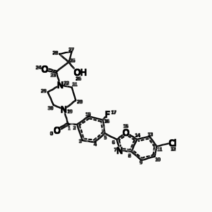 O=C(c1ccc(-c2nc3ccc(Cl)cc3o2)c(F)c1)N1CCN(C(=O)C2(O)CC2)CC1